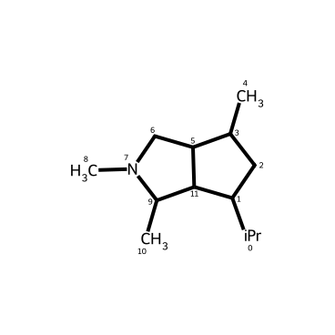 CC(C)C1CC(C)C2CN(C)C(C)C12